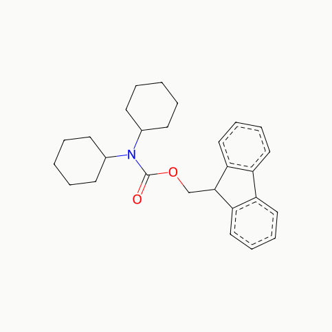 O=C(OCC1c2ccccc2-c2ccccc21)N(C1CCCCC1)C1CCCCC1